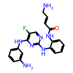 NCC=CC(=O)Nc1ccccc1Nc1ncc(F)c(Nc2cccc(N)c2)n1